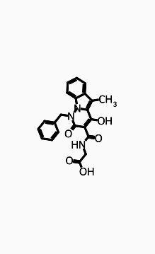 Cc1c2ccccc2n2c1c(O)c(C(=O)NCC(=O)O)c(=O)n2Cc1ccccc1